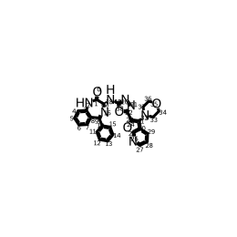 O=C1Nc2ccccc2C(c2ccccc2)=N[C@@H]1Nc1nnc(-c2oc3ncccc3c2N2CCOCC2)o1